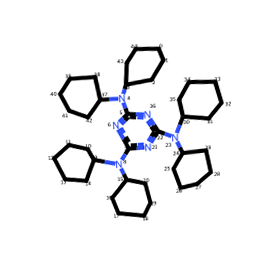 C1CCC(N(c2nc(N(C3CCCCC3)C3CCCCC3)nc(N(C3CCCCC3)C3CCCCC3)n2)C2CCCCC2)CC1